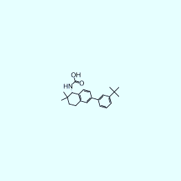 CC(C)(C)c1cccc(-c2ccc3c(c2)CCC(C)(C)[C@@H]3NC(=O)O)c1